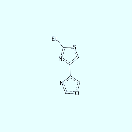 CCc1nc(-c2cocn2)cs1